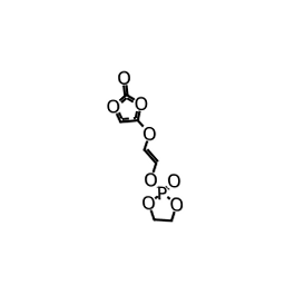 O=c1occ(O/C=C/OP2(=O)OCCO2)o1